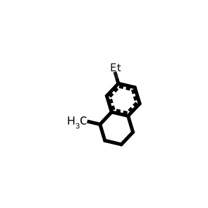 CCc1ccc2c(c1)C(C)CCC2